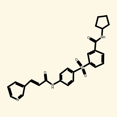 O=C(C=Cc1cccnc1)Nc1ccc(S(=O)(=O)c2cccc(C(=O)NC3CCCC3)c2)cc1